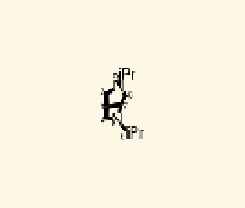 CC(C)N1CC2CN(C(C)C)C2C1